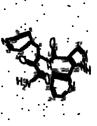 NC(=O)C(=O)C(Cc1ccncc1)NC(=O)c1cn[nH]c1-c1ccccn1